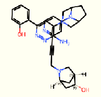 Nc1nnc(-c2ccccc2O)cc1N1CC2CCC(C1)N2c1ccnc(C#CCN2C[C@@H]3C[C@H]2C[C@H]3O)c1